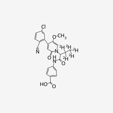 [2H]C([2H])([2H])C([2H])([2H])C(C(=O)Nc1ccc(C(=O)O)cc1)n1cc(OC)c(-c2cc(Cl)ccc2C#N)cc1=O